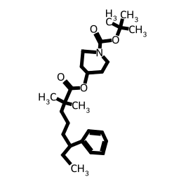 CCC(CCCC(C)(C)C(=O)OC1CCN(C(=O)OC(C)(C)C)CC1)c1ccccc1